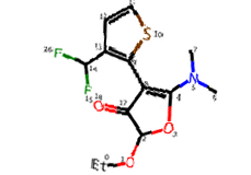 CCOC1OC(N(C)C)=C(c2sccc2C(F)F)C1=O